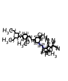 CCCCN(CCCC)c1ccc(CCC2=C/C(=C/C=C/C3=C(C#N)C(=C(C#N)C#N)OC3(C)C(F)(F)F)CC(C)(C)C2)c(OC)c1